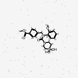 COC(=O)c1ccc(CN(C(=O)N2CCS(O)(O)CC2)c2ccccc2OC)cc1